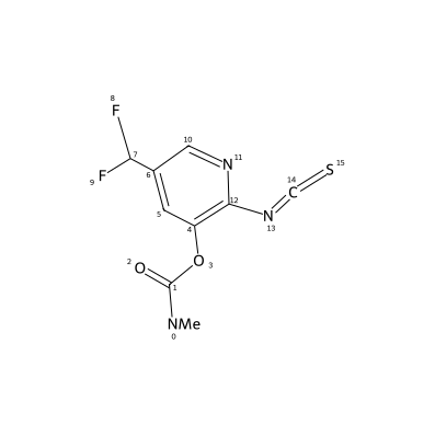 CNC(=O)Oc1cc(C(F)F)cnc1N=C=S